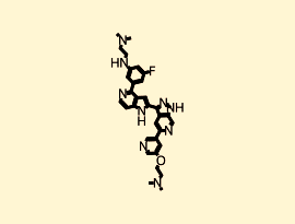 CN(C)CCNc1cc(F)cc(-c2nccc3[nH]c(-c4n[nH]c5cnc(-c6cncc(OCCN(C)C)c6)cc45)cc23)c1